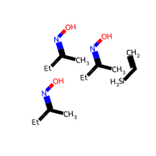 C=C[SiH3].CCC(C)=NO.CCC(C)=NO.CCC(C)=NO